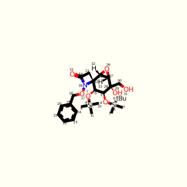 CC(C)(C)[Si](C)(C)O[C@H]1[C@@H](O[Si](C)(C)C)[C@@]2(CC(=O)N2OCc2ccccc2)[C@@H]2O[C@@H]2[C@@]1(O)CO